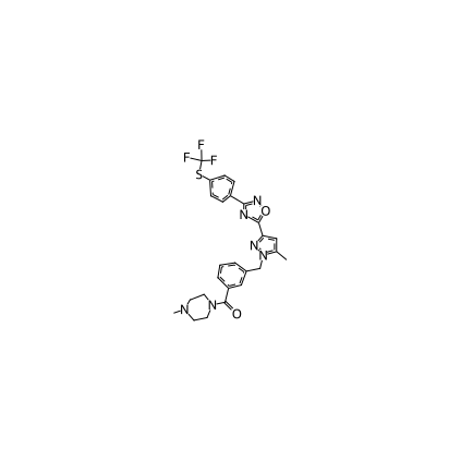 Cc1cc(-c2nc(-c3ccc(SC(F)(F)F)cc3)no2)nn1Cc1cccc(C(=O)N2CCN(C)CC2)c1